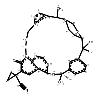 CC1c2cn(nn2)CCCn2c(=O)c(C3(C#N)CC3)cc3c(ncnc32)N[C@H](C)c2cccc(c2)C(F)(F)C2CCN1CC2